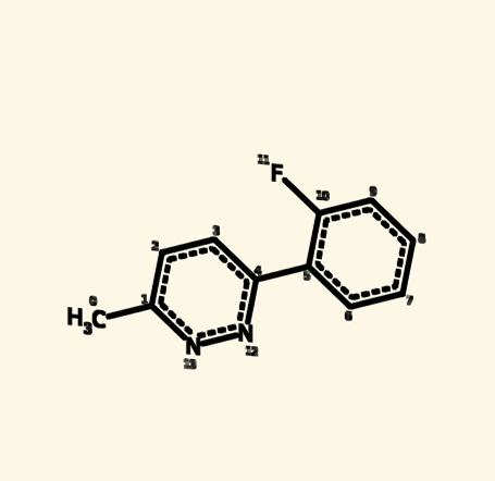 Cc1ccc(-c2ccccc2F)nn1